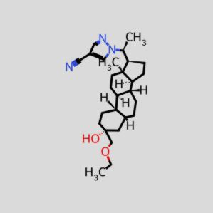 CCOC[C@@]1(O)CC[C@H]2[C@H](CC[C@@H]3[C@@H]2CC[C@]2(C)[C@@H]([C@H](C)n4cc(C#N)cn4)CC[C@@H]32)C1